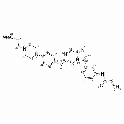 C=CC(=O)Nc1cccc(-c2cnc3cnc(Nc4ccc(N5CCN(CCOC)CC5)cc4)cn23)c1